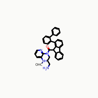 NCCCN(C(=O)C1c2ccccc2-c2cccc(-c3ccccc3-c3ccccc3)c21)c1ncccc1NC=O